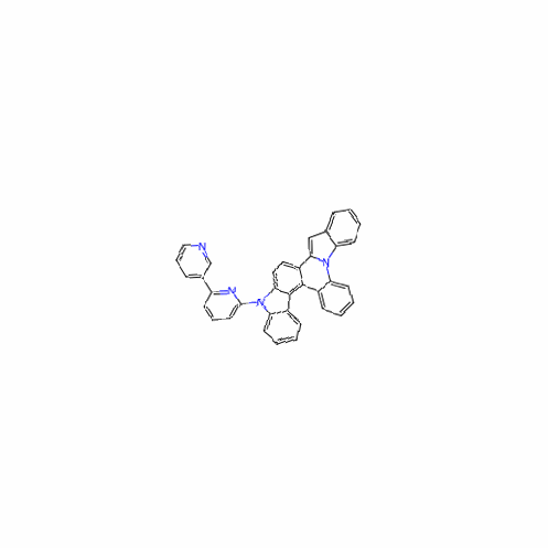 c1cncc(-c2cccc(-n3c4ccccc4c4c5c6ccccc6n6c7ccccc7cc6c5ccc43)n2)c1